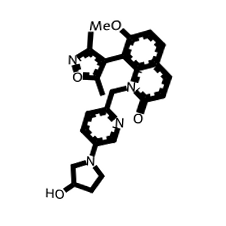 COc1ccc2ccc(=O)n(Cc3ccc(N4CCC(O)C4)cn3)c2c1-c1c(C)noc1C